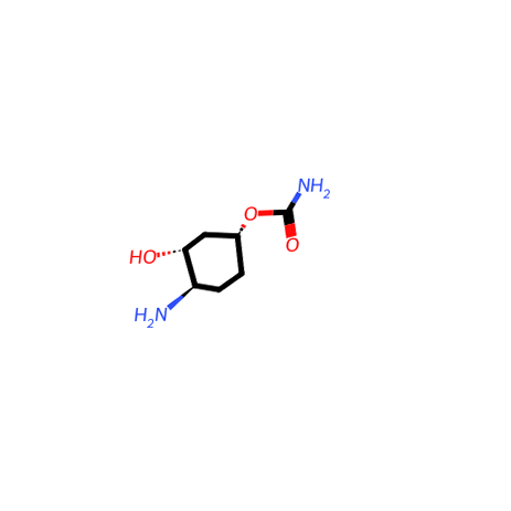 NC(=O)O[C@@H]1CC[C@@H](N)[C@H](O)C1